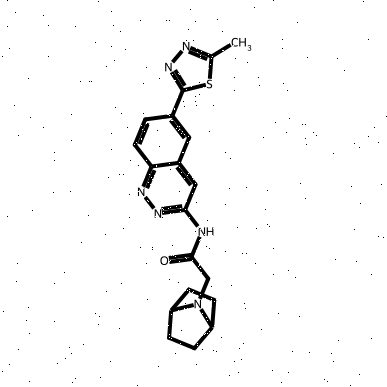 Cc1nnc(-c2ccc3nnc(NC(=O)CN4C5CCC4CC5)cc3c2)s1